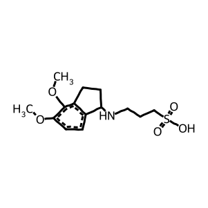 COc1ccc2c(c1OC)CCC2NCCCS(=O)(=O)O